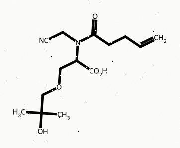 C=CCCC(=O)N(CC#N)C(COCC(C)(C)O)C(=O)O